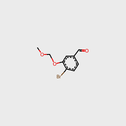 COCOc1cc(C=O)ccc1Br